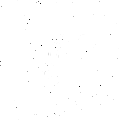 CC(=O)Nc1ccnc2c1cc(-c1nc3cc(C(=O)N4CCC[C@@H](N)C4)ccc3n1C)n2CC1CC1